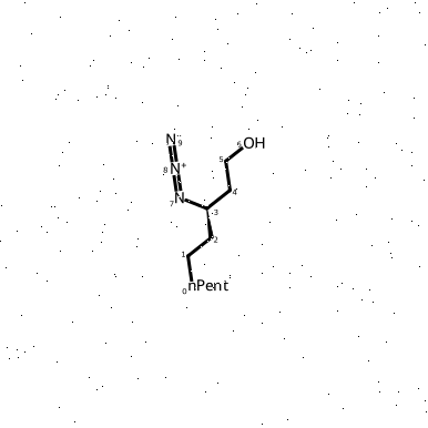 CCCCCCC[C@H](CCO)N=[N+]=[N-]